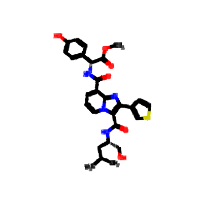 COC(=O)[C@H](NC(=O)c1cccn2c(C(=O)N[C@H](CO)CC(C)C)c(-c3ccsc3)nc12)c1ccc(O)cc1